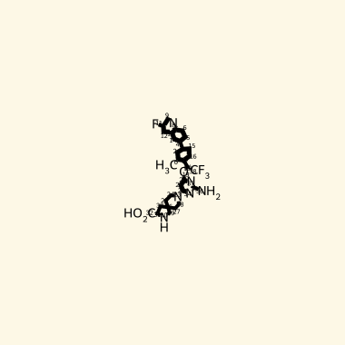 Cc1cc(-c2ccc3ncc(F)cc3c2)ccc1[C@@H](Oc1cc(N2CCC3(CC2)CNC(C(=O)O)C3)nc(N)n1)C(F)(F)F